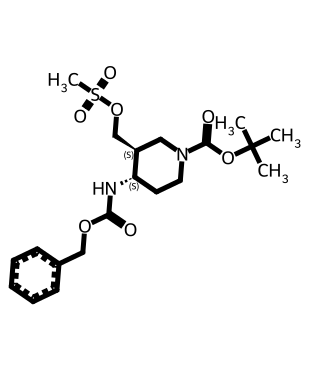 CC(C)(C)OC(=O)N1CC[C@H](NC(=O)OCc2ccccc2)[C@@H](COS(C)(=O)=O)C1